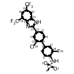 CS(=O)(=O)Nc1ccc(-c2ccc(-c3nc4c(C(F)(F)F)cc(C(F)(F)F)cc4[nH]3)cc2Cl)cc1F